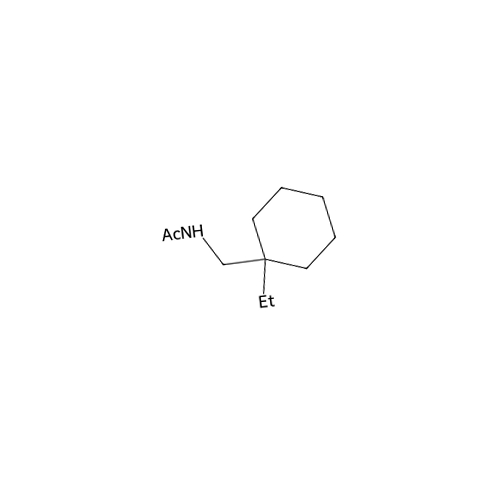 CCC1(CNC(C)=O)CCCCC1